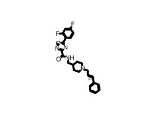 O=C(NCC1CCN(C/C=C/c2ccccc2)CC1)c1noc(-c2ccc(F)cc2F)n1